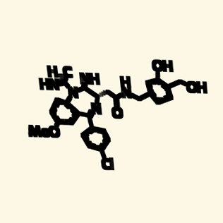 COc1ccc2c(c1)C(c1ccc(Cl)cc1)=N[C@@H](CC(=O)NCc1ccc(CO)c(O)c1)C(=N)N2C(C)=N